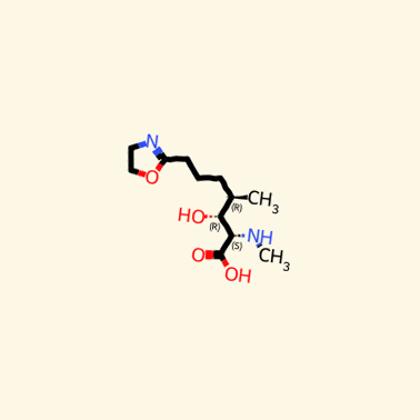 CN[C@H](C(=O)O)[C@H](O)[C@H](C)CCCC1=NCCO1